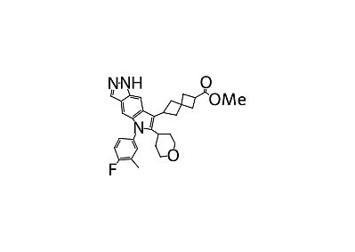 COC(=O)C1CC2(C1)CC(c1c(C3CCOCC3)n(-c3ccc(F)c(C)c3)c3cc4cn[nH]c4cc13)C2